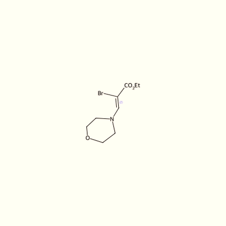 CCOC(=O)/C(Br)=C/N1CCOCC1